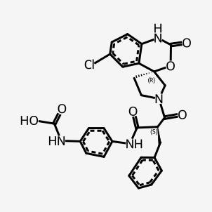 O=C(O)Nc1ccc(NC(=O)[C@H](Cc2ccccc2)C(=O)N2CC[C@@]3(C2)OC(=O)Nc2ccc(Cl)cc23)cc1